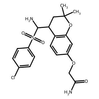 CC1(C)CC(C(N)S(=O)(=O)c2ccc(Cl)cc2)c2ccc(OCC(N)=O)cc2O1